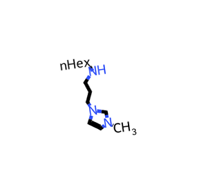 CCCCCCNCCCN1C=CN(C)C1